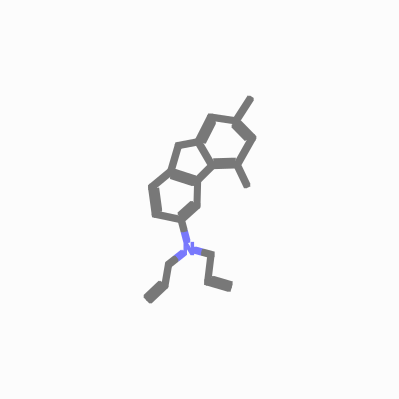 C=CCN(CC=C)c1ccc2c(c1)-c1c(C)cc(C)cc1C2